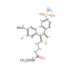 COc1ccc(-c2c(-c3ccc(S(N)(=O)=O)cc3)csc2CCCC(=O)N(C)O)cc1F